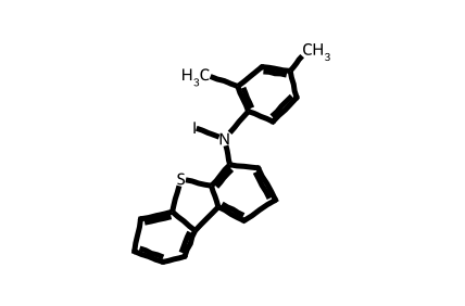 Cc1ccc(N(I)c2cccc3c2sc2ccccc23)c(C)c1